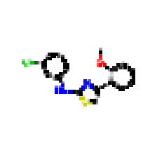 COc1ccccc1-c1csc(Nc2cccc(Cl)c2)n1